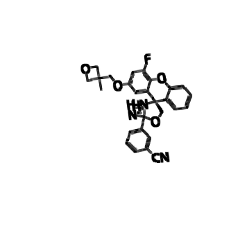 CC1(COc2cc(F)c3c(c2)[C@]2(COC(N)(c4cccc(C#N)c4)N2)c2ccccc2O3)COC1